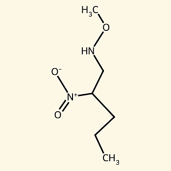 CCCC(CNOC)[N+](=O)[O-]